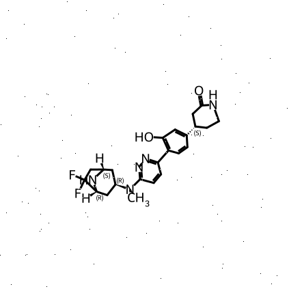 CN(c1ccc(-c2ccc([C@H]3CCNC(=O)C3)cc2O)nn1)[C@@H]1C[C@H]2CC(F)(F)[C@@H](C1)N2